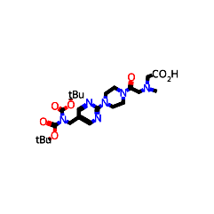 CN(CC(=O)O)CC(=O)N1CCN(c2ncc(CN(C(=O)OC(C)(C)C)C(=O)OC(C)(C)C)cn2)CC1